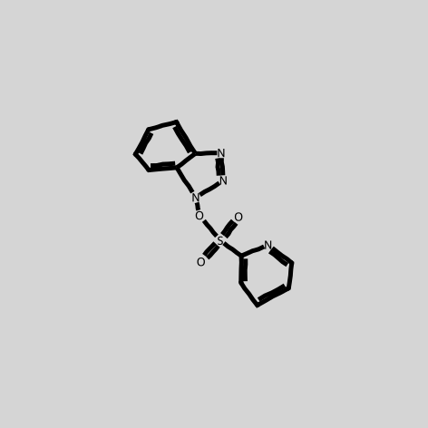 O=S(=O)(On1nnc2ccccc21)c1ccccn1